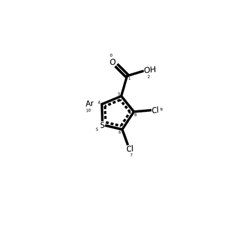 O=C(O)c1csc(Cl)c1Cl.[Ar]